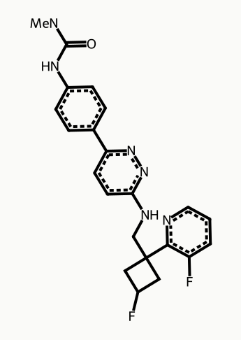 CNC(=O)Nc1ccc(-c2ccc(NCC3(c4ncccc4F)CC(F)C3)nn2)cc1